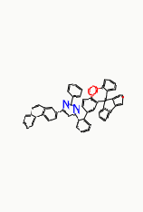 c1ccc(-c2nc(-c3ccc4c(ccc5ccccc54)c3)cc(-c3ccccc3-c3ccc4c(c3)C3(c5ccccc5O4)c4ccccc4-c4ccccc43)n2)cc1